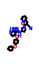 N#C/C(=C/c1ccccn1)C(=O)N1CCC(Nc2n[nH]c3nccc(Oc4ccc(Oc5ccccc5)cc4)c23)C1